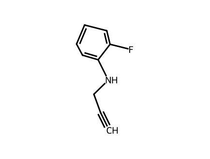 C#CCNc1ccccc1F